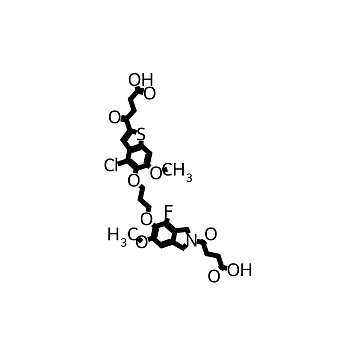 COc1cc2c(c(F)c1OCCCOc1c(OC)cc3sc(C(=O)CCC(=O)O)cc3c1Cl)CN(C(=O)CCC(=O)O)C2